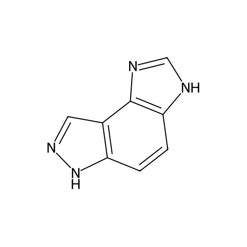 c1nc2c(ccc3[nH]ncc32)[nH]1